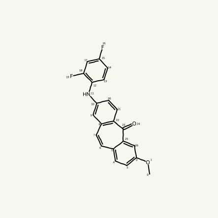 COc1ccc2ccc3cc(Nc4ccc(F)cc4F)ccc3c(=O)c2c1